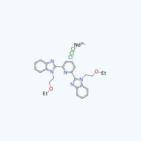 CCOCCn1c(-c2cccc(-c3nc4ccccc4n3CCOCC)n2)nc2ccccc21.[Cl-].[Cl-].[Cl-].[Nd+3]